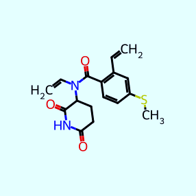 C=Cc1cc(SC)ccc1C(=O)N(C=C)C1CCC(=O)NC1=O